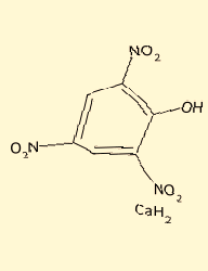 O=[N+]([O-])c1cc([N+](=O)[O-])c(O)c([N+](=O)[O-])c1.[CaH2]